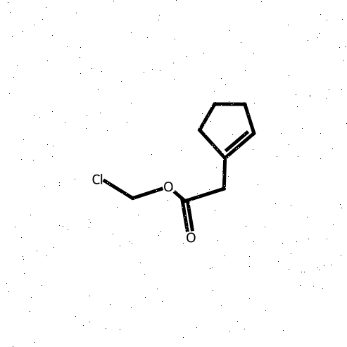 O=C(CC1=CCCC1)OCCl